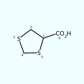 O=C(O)C1CS[CH]S1